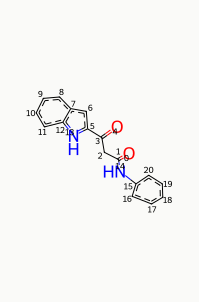 O=C(CC(=O)c1cc2ccccc2[nH]1)Nc1ccccc1